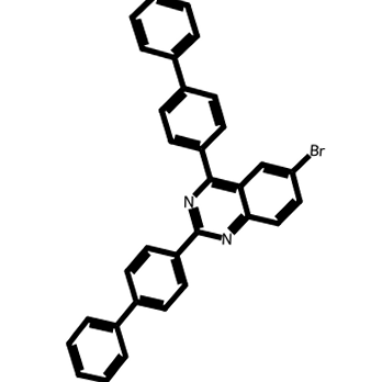 Brc1ccc2nc(-c3ccc(-c4ccccc4)cc3)nc(-c3ccc(-c4ccccc4)cc3)c2c1